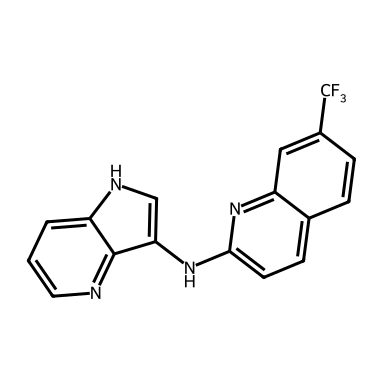 FC(F)(F)c1ccc2ccc(Nc3c[nH]c4cccnc34)nc2c1